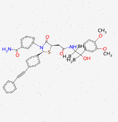 BC(B)(NC(=O)C[C@H]1S[C@@H](c2ccc(C#Cc3ccccc3)cc2)N(c2cccc(C(N)=O)c2)C1=O)C(B)(O)c1ccc(OC)c(OC)c1